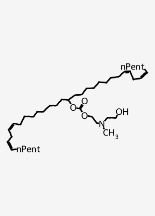 CCCCC/C=C\C/C=C\CCCCCCCCC(CCCCCCCC/C=C\C/C=C\CCCCC)OC(=O)OCCN(C)CCO